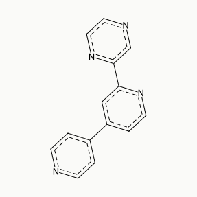 c1cc(-c2ccnc(-c3cnccn3)c2)ccn1